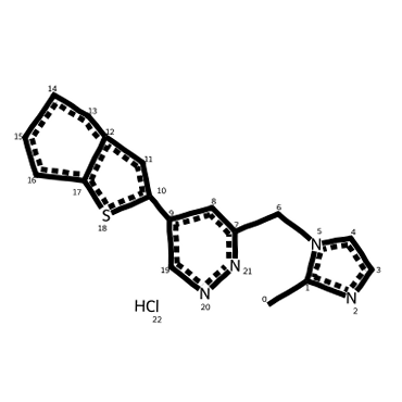 Cc1nccn1Cc1cc(-c2cc3ccccc3s2)cnn1.Cl